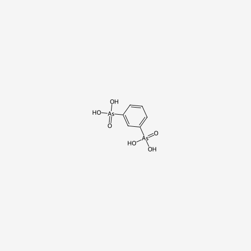 O=[As](O)(O)c1cccc([As](=O)(O)O)c1